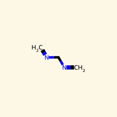 C=NCN=C